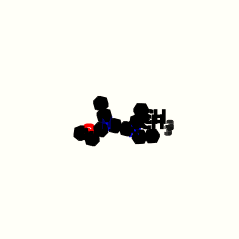 CC1(C)c2ccccc2-c2cc3c4cc(-c5ccc(N(c6ccc(-c7ccccc7)cc6)c6ccc(-c7cccc8c7oc7ccccc78)cc6)cc5)ccc4n(-c4cccc(-c5ccccc5)c4)c3cc21